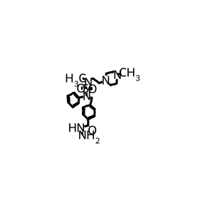 CN1CCN(CCN(C)S(=O)(=O)N(Cc2ccc(C(=O)NN)cc2)c2ccccc2)CC1